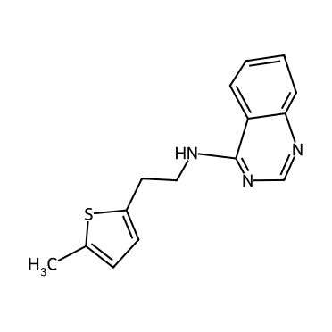 Cc1ccc(CCNc2ncnc3ccccc23)s1